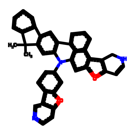 CC1(C)c2ccccc2-c2cc(-c3ccccc3)c(N(c3ccc4c5c(oc4c3)C=CNC5)c3ccc4c(c3)oc3ccncc34)cc21